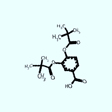 CC(C)(C)C(=O)Oc1ccc(C(=O)O)cc1OC(=O)C(C)(C)C